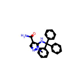 Cn1ncc(C(N)=O)c1NC(c1ccccc1)(c1ccccc1)c1ccccc1